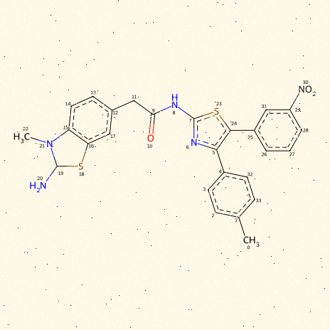 Cc1ccc(-c2nc(NC(=O)Cc3ccc4c(c3)SC(N)N4C)sc2-c2cccc([N+](=O)[O-])c2)cc1